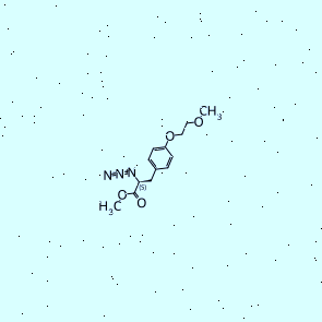 COCCOc1ccc(C[C@H](N=[N+]=[N-])C(=O)OC)cc1